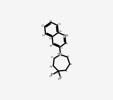 FC1(F)CCCN(c2cnc3ccccc3c2)CC1